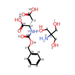 NC(CO)(CO)CO.O=C(O)C[C@H](NC(=O)OCc1ccccc1)C(=O)O